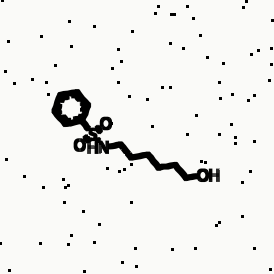 O=S(=O)(NCCCCCCO)c1ccccc1